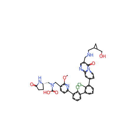 COc1nc(-c2cccc(-c3cccc(-c4ccn5c(=O)c(CNCC6CC6CO)cnc5c4)c3Cl)c2Cl)ccc1CN(C[C@@H]1CCC(=O)N1)C(=O)O